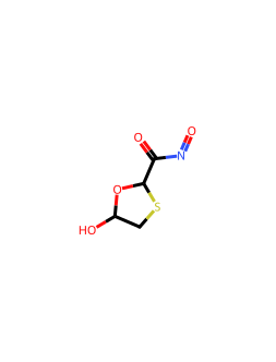 O=NC(=O)C1OC(O)CS1